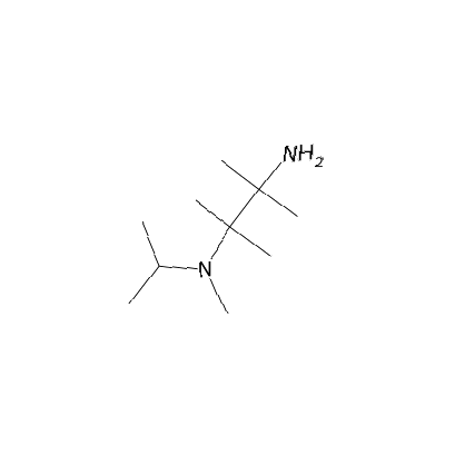 CC(C)N(C)C(C)(C)C(C)(C)N